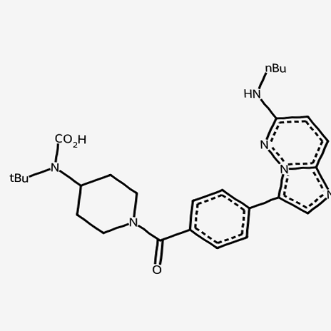 CCCCNc1ccc2ncc(-c3ccc(C(=O)N4CCC(N(C(=O)O)C(C)(C)C)CC4)cc3)n2n1